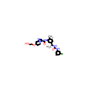 Cc1ccc([C@H](C)NC(=O)Nc2cccc(F)c2)cc1NC(=O)c1cnc2cc(OCCO)ccn12